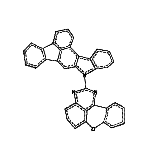 c1ccc2c(c1)Oc1cccc3nc(-n4c5ccccc5c5c6cccc7c6c(cc54)-c4ccccc4-7)nc-2c13